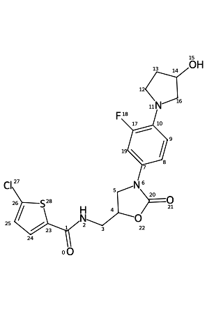 O=C(NCC1CN(c2ccc(N3CCC(O)C3)c(F)c2)C(=O)O1)c1ccc(Cl)s1